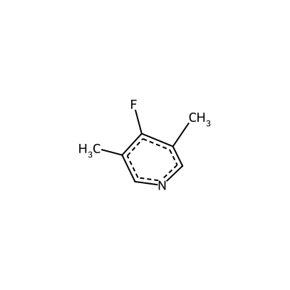 Cc1cncc(C)c1F